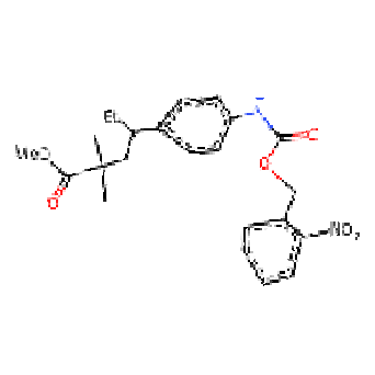 CCC(CC(C)(C)C(=O)OC)c1ccc(NC(=O)OCc2ccccc2[N+](=O)[O-])cc1